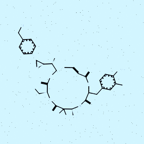 COc1ccc(CC2NC(=O)/C=C/C[C@@H]([C@H](C)[C@H]3O[C@@H]3c3ccc(CN)cc3)OC(=O)[C@H](CC(C)(C)C)NC(=O)C(C)(C)[C@H](C)NC2=O)cc1Cl